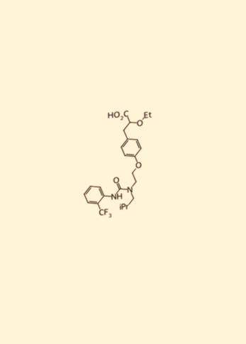 CCOC(Cc1ccc(OCCN(CC(C)C)C(=O)Nc2ccccc2C(F)(F)F)cc1)C(=O)O